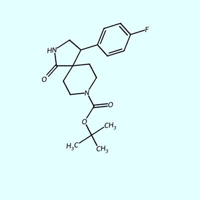 CC(C)(C)OC(=O)N1CCC2(CC1)C(=O)NCC2c1ccc(F)cc1